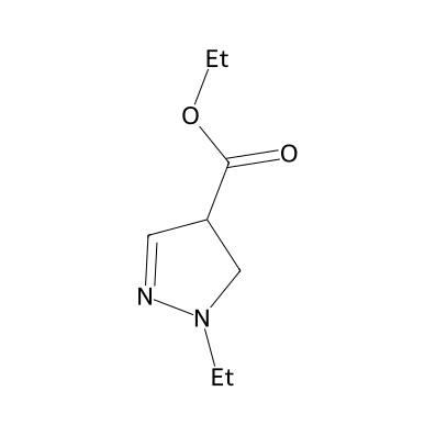 CCOC(=O)C1C=NN(CC)C1